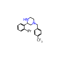 CC(C)c1ccccc1[C@@H]1CN(Cc2ccc(C(F)(F)F)cc2)CCN1